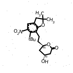 CC1(C)Cc2cc([N+](=O)[O-])c(C(C)(C)C)c(CC[C@@H]3C[C@@H](O)CC(=O)O3)c2O1